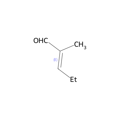 CC/C=C(\C)C=O